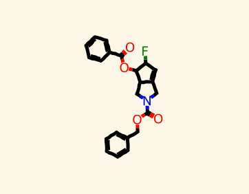 O=C(OC1C(F)C=C2CN(C(=O)OCc3ccccc3)CC21)c1ccccc1